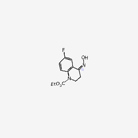 CCOC(=O)N1CC/C(=N/O)c2cc(F)ccc21